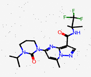 Cc1cc(N2CCCN(C(C)C)C2=O)nc2c(C(=O)NC(C)(C)C(F)(F)F)cnn12